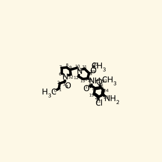 CCCC(=O)N1CCCC(CN2CC[C@@H](NC(=O)c3cc(Cl)c(N)cc3OC)[C@@H](OC)C2)C1